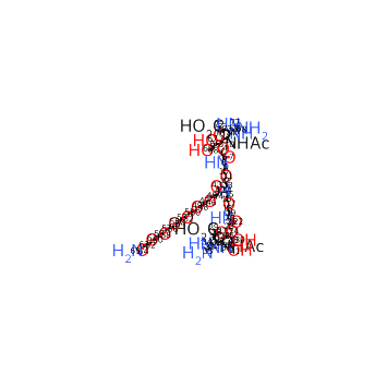 CC(=O)N[C@H]1[C@H]([C@H](OCC(=O)NCCOCCN(CCOCCNC(=O)CO[C@@H]([C@@H]2OC(C(=O)O)=C[C@H](NC(=N)N)[C@H]2NC(C)=O)[C@H](O)CO)C(=O)CCOCCOCCOCCOCCOCCOCCON)[C@H](O)CO)OC(C(=O)O)=C[C@@H]1NC(=N)N